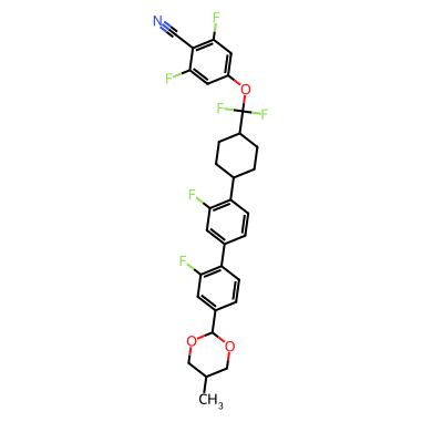 CC1COC(c2ccc(-c3ccc(C4CCC(C(F)(F)Oc5cc(F)c(C#N)c(F)c5)CC4)c(F)c3)c(F)c2)OC1